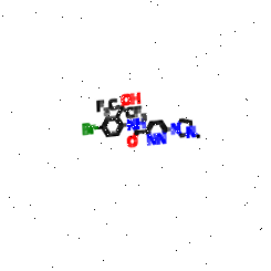 CN1CCN(c2ccc(C(=O)Nc3ccc(Br)cc3C(O)(C(F)(F)F)C(F)(F)F)nn2)C1